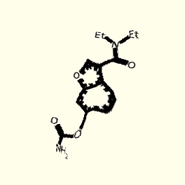 CCN(CC)C(=O)c1coc2cc(OC(N)=O)ccc12